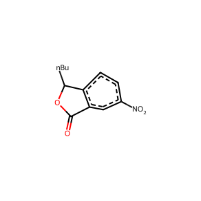 CCCCC1OC(=O)c2cc([N+](=O)[O-])ccc21